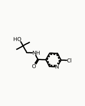 CC(C)(O)CNC(=O)c1ccc(Cl)nc1